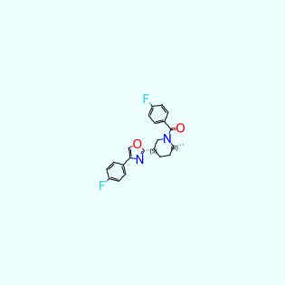 C[C@@H]1CC[C@H](c2nc(-c3ccc(F)cc3)co2)CN1C(=O)c1ccc(F)cc1